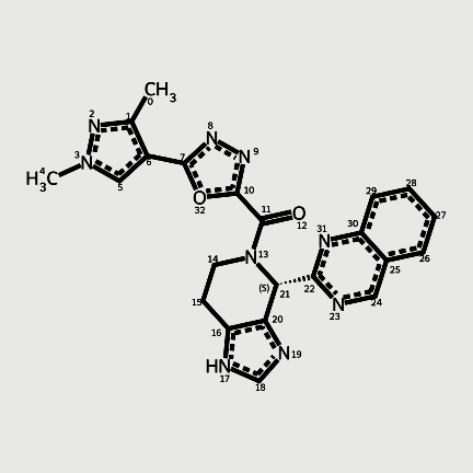 Cc1nn(C)cc1-c1nnc(C(=O)N2CCc3[nH]cnc3[C@H]2c2ncc3ccccc3n2)o1